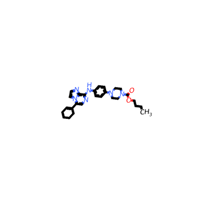 CCCCOC(=O)N1CCN(c2ccc(Nc3ncc(C4=CCCCC4)n4ccnc34)cc2)CC1